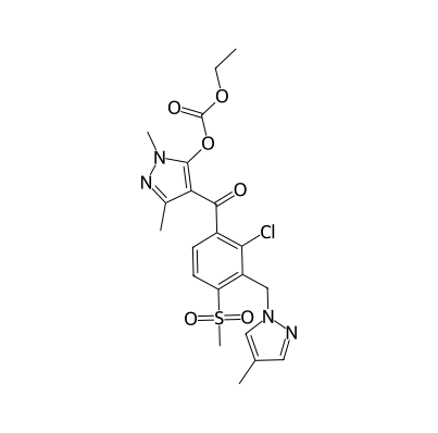 CCOC(=O)Oc1c(C(=O)c2ccc(S(C)(=O)=O)c(Cn3cc(C)cn3)c2Cl)c(C)nn1C